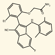 CCc1cccc(OCC(N)=O)c1-c1c(C#N)c2ccc(F)cn2c1Nc1c(C)cccc1C